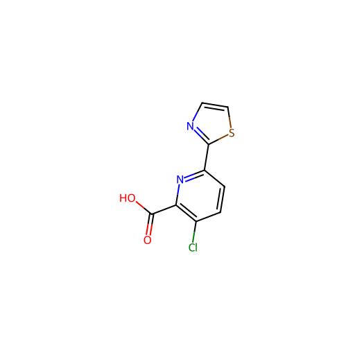 O=C(O)c1nc(-c2nccs2)ccc1Cl